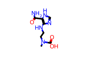 CN(CCNc1nc[nH]c1C(N)=O)C(=O)O